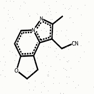 Cc1nn2ccc3c(c2c1CC#N)CCO3